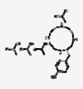 CC(=O)O.CC(=O)O.CC(=O)O.CC(=O)O.Nc1ccc(C[C@H]2CNCCNCCNCCN2)cc1